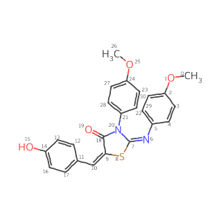 COc1ccc(/N=C2/S/C(=C/c3ccc(O)cc3)C(=O)N2c2ccc(OC)cc2)cc1